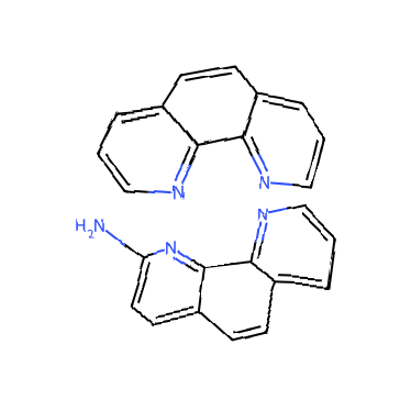 Nc1ccc2ccc3cccnc3c2n1.c1cnc2c(c1)ccc1cccnc12